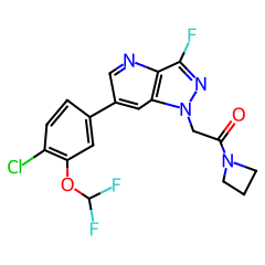 O=C(Cn1nc(F)c2ncc(-c3ccc(Cl)c(OC(F)F)c3)cc21)N1CCC1